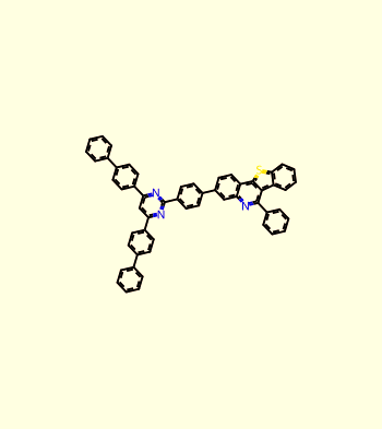 c1ccc(-c2ccc(-c3cc(-c4ccc(-c5ccccc5)cc4)nc(-c4ccc(-c5ccc6c(c5)nc(-c5ccccc5)c5c7ccccc7sc65)cc4)n3)cc2)cc1